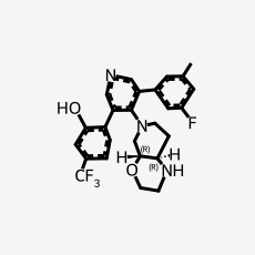 Cc1cc(F)cc(-c2cncc(-c3ccc(C(F)(F)F)cc3O)c2N2CC[C@H]3NCCO[C@@H]3C2)c1